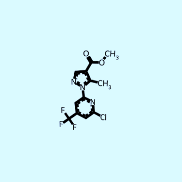 COC(=O)c1cnn(-c2cc(C(F)(F)F)cc(Cl)n2)c1C